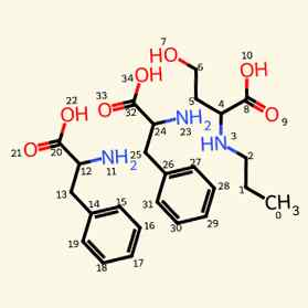 CCCNC(CCO)C(=O)O.NC(Cc1ccccc1)C(=O)O.NC(Cc1ccccc1)C(=O)O